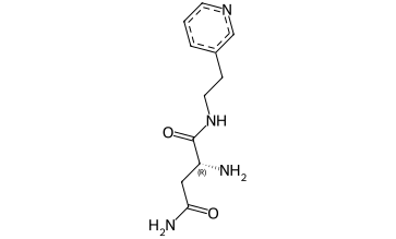 NC(=O)C[C@@H](N)C(=O)NCCc1cccnc1